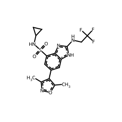 Cc1noc(C)c1-c1cc(S(=O)(=O)NC2CC2)c2nc(NCC(F)(F)F)[nH]c2c1